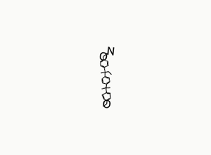 CCC(C)(c1ccc(OC#N)cc1)c1ccc(C(C)(C)c2ccc(OC)cc2)cc1